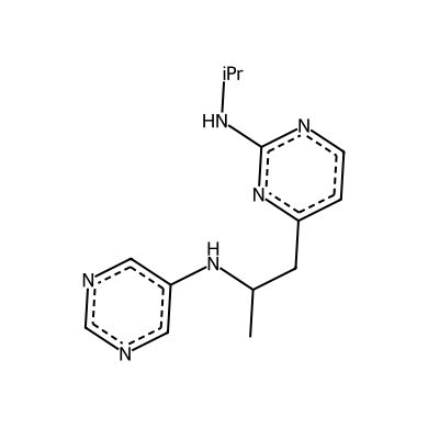 CC(C)Nc1nccc(CC(C)Nc2cncnc2)n1